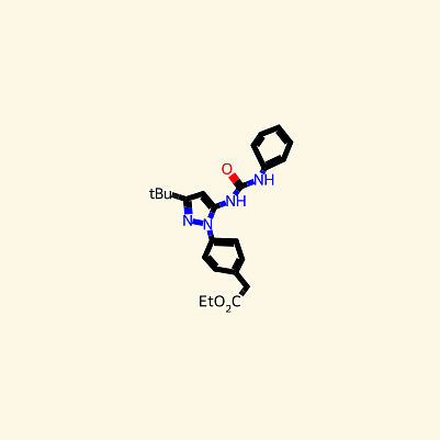 CCOC(=O)Cc1ccc(-n2nc(C(C)(C)C)cc2NC(=O)Nc2ccccc2)cc1